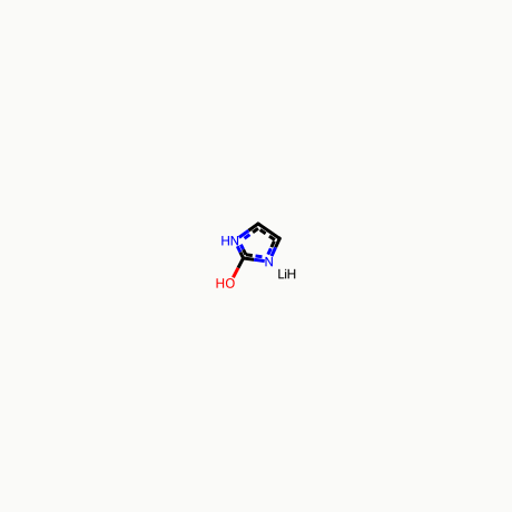 Oc1ncc[nH]1.[LiH]